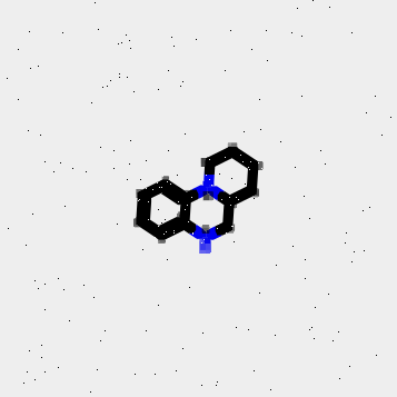 c1ccc2c(c1)NCC1CCCCN21